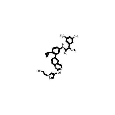 CC(C(=O)Nc1ccc(C2CC2)c(-c2ccc3nc(Nc4cnn(CCO)c4)ncc3c2)c1)c1cc(O)cc(C(F)(F)F)c1